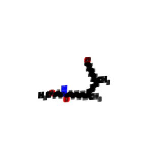 COCCCNC(=O)CCCCCCC(C)CCCCC(C)CCCCCCC=O